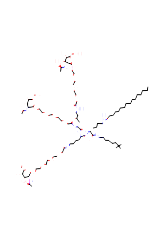 CCCCCCCCCCCCCCCC(=O)NCCCC[C@@H](NC(=O)C(CCCCNC(=O)COCCOCCOCCO[C@@H]1O[C@H](CO)[C@H](O)[C@H](O)[C@H]1NC(C)=O)NC(=O)[C@H](CCCCNC(=O)COCCOCCOCCO[C@@H]1O[C@H](CO)[C@H](O)[C@H](O)[C@H]1NC(C)=O)NC(=O)COCCOCCOCCO[C@@H]1O[C@H](CO)[C@H](O)[C@H](O)[C@H]1NC(C)=O)C(=O)NCCCCCCC(C)(C)C